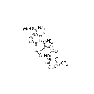 COc1nccc2c(-n3ncc(C(=O)Nc4ccnc(C(F)(F)F)c4)c3C3CC3)cccc12